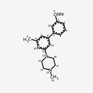 COc1cccc(-c2cc(C)nc(N3CCN(C)CC3)c2)c1